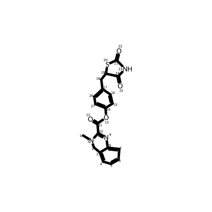 CN1Cc2ccccc2N=C1C(=O)Oc1ccc(CC2SC(=O)NC2=O)cc1